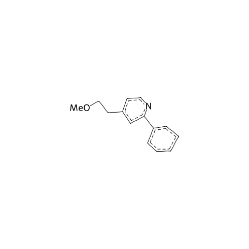 COCCc1ccnc(-c2ccccc2)c1